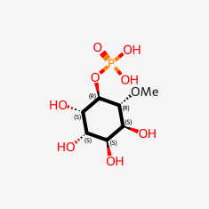 CO[C@@H]1[C@@H](O)[C@@H](O)[C@H](O)[C@H](O)[C@H]1OP(=O)(O)O